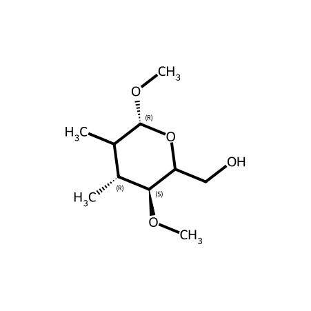 CO[C@@H]1OC(CO)[C@@H](OC)[C@H](C)C1C